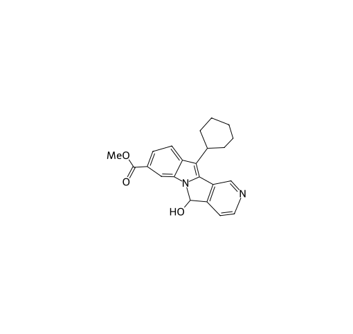 COC(=O)c1ccc2c(C3CCCCC3)c3n(c2c1)C(O)c1ccncc1-3